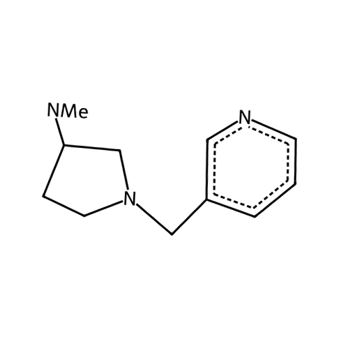 CNC1CCN(Cc2cccnc2)C1